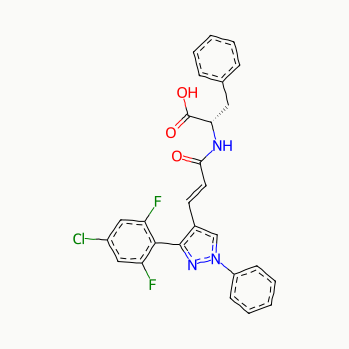 O=C(C=Cc1cn(-c2ccccc2)nc1-c1c(F)cc(Cl)cc1F)N[C@@H](Cc1ccccc1)C(=O)O